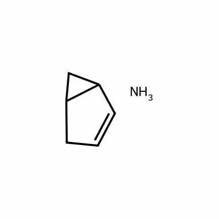 C1=CC2CC2C1.N